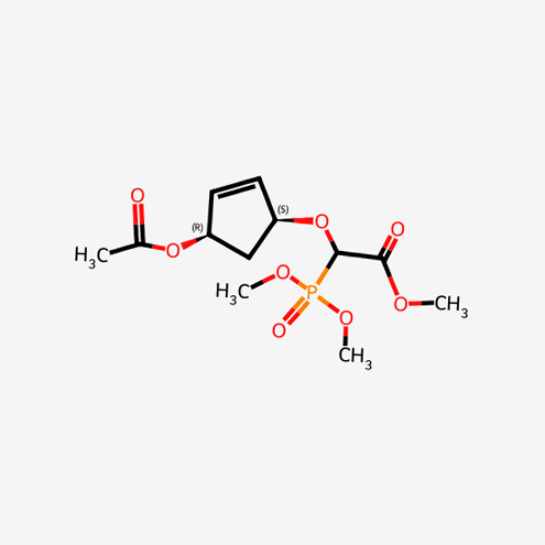 COC(=O)C(O[C@@H]1C=C[C@H](OC(C)=O)C1)P(=O)(OC)OC